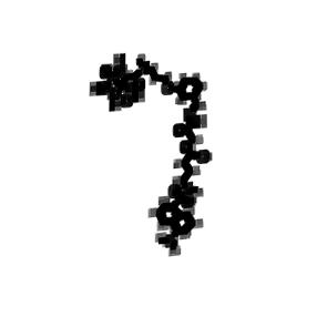 CN(CCCOc1cccc(/C=N/NC(=O)COC(=O)CCCN(C)S(=O)(=O)c2cccc3c(N(C)C)cccc23)c1)CCC(O)([PH](=O)O)P(=O)(O)O